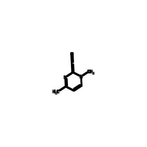 CC1=NC(=C=O)N(C)C=C1